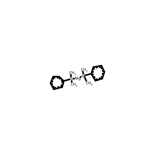 C[Si](C)([Mg][Si](C)(C)c1ccccc1)c1ccccc1